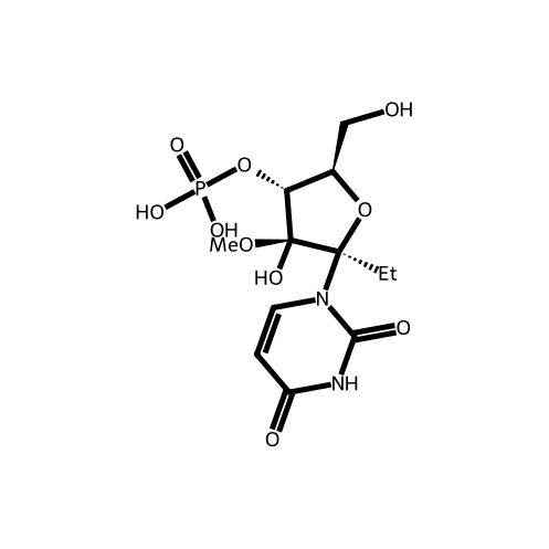 CC[C@@]1(n2ccc(=O)[nH]c2=O)O[C@H](CO)[C@@H](OP(=O)(O)O)[C@]1(O)OC